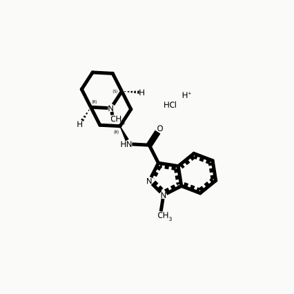 CN1[C@@H]2CCC[C@H]1C[C@@H](NC(=O)c1nn(C)c3ccccc13)C2.Cl.[H+]